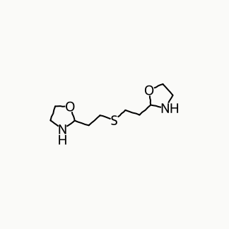 C1COC(CCSCCC2NCCO2)N1